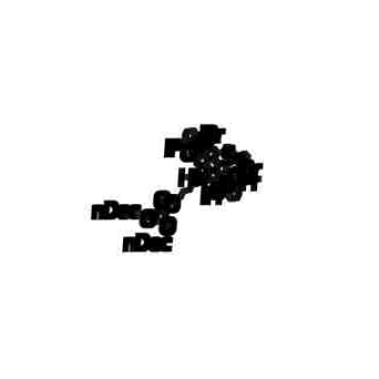 CCCCCCCCCCCCOc1cc(OCCCCCCCCCCCC)cc(C(=O)OCCCCCCNc2cc3c4c(ccc5c6c(-c7ccc(-c8ccc(Br)s8)s7)cc7c8c(ccc(c2c45)c86)C(=O)N(c2c(C(C)C)cccc2C(C)C)C7=O)C(=O)N(c2c(C(C)C)cccc2C(C)C)C3=O)c1